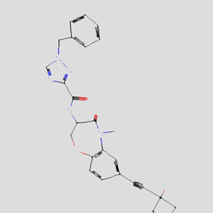 CN1C(=O)C(NC(=O)c2ncn(Cc3ccccc3)n2)COc2ccc(C#CC3(O)CCC3)cc21